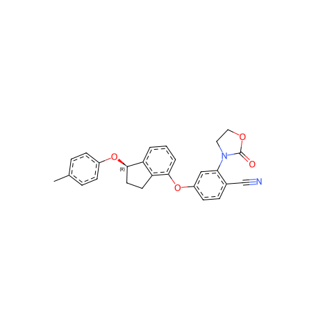 Cc1ccc(O[C@@H]2CCc3c(Oc4ccc(C#N)c(N5CCOC5=O)c4)cccc32)cc1